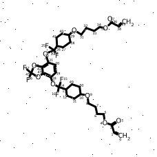 C=CC(=O)OCCCCOC1CCC(C(F)(F)Oc2ccc(OC(F)(F)C3CCC(OCCCCOC(=O)C=C)CC3)c3c2OC(F)(F)O3)CC1